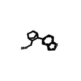 CNCC1C2CCC(C2)C1c1ccc2sccc2c1